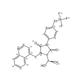 C[C@@H](O)C1C(=O)N(c2ccc(SC(F)(F)F)cc2)C(=O)N1Cc1ccnc2ccccc12